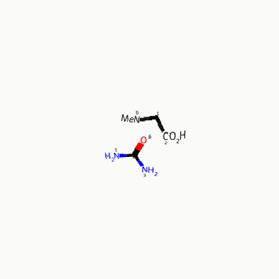 CNCC(=O)O.NC(N)=O